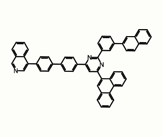 c1cc(-c2ccc3ccccc3c2)cc(-c2nc(-c3ccc(-c4ccc(-c5cncc6ccccc56)cc4)cc3)cc(-c3cc4ccccc4c4ccccc34)n2)c1